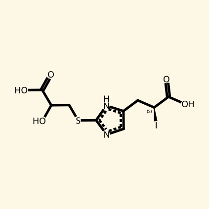 O=C(O)C(O)CSc1ncc(C[C@H](I)C(=O)O)[nH]1